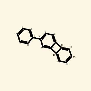 [c]1ccc(-c2ccc3c(c2)-c2ccccc2-3)cc1